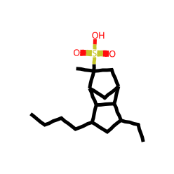 CCCCC1CC(CC)C2C3CC(C12)C(C)(S(=O)(=O)O)C3